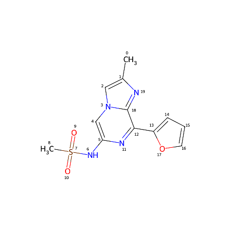 Cc1cn2cc(NS(C)(=O)=O)nc(-c3ccco3)c2n1